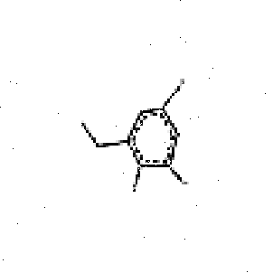 CCc1cc(F)cc(F)c1F